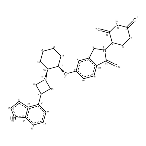 O=C1CCC(N2Cc3cc(O[C@@H]4CCCC[C@@H]4N4CC(c5ccnc6[nH]ccc56)C4)ccc3C2=O)C(=O)N1